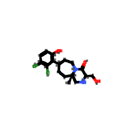 O=C1[C@@H](CO)NC[C@H]2CC[C@@H](c3c(O)ccc(Cl)c3Cl)CCN12